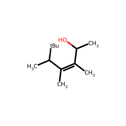 CC(=C(C)C(C)C(C)(C)C)C(C)O